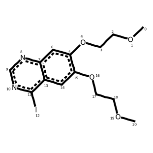 COCCOc1cc2ncnc(I)c2cc1OCCOC